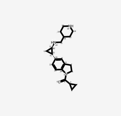 O=C(C1CC1)N1CCc2cc([C@@H]3C[C@H]3NCC3CCNCC3)ccc21